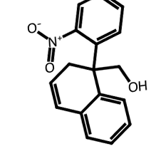 O=[N+]([O-])c1ccccc1C1(CO)CC=Cc2ccccc21